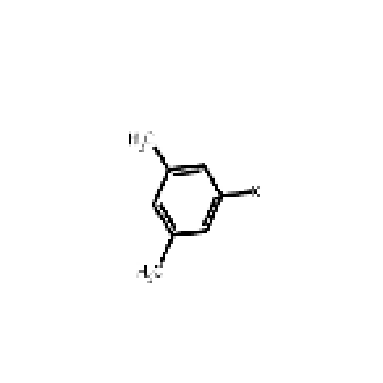 Cc1cc(C)c[c]([K])c1